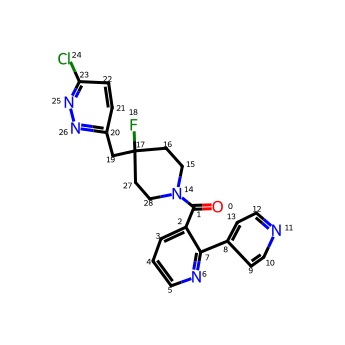 O=C(c1cccnc1-c1ccncc1)N1CCC(F)(Cc2ccc(Cl)nn2)CC1